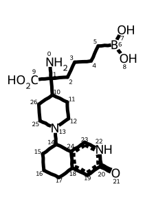 NC(CCCCB(O)O)(C(=O)O)C1CCN(C2CCCc3cc(=O)[nH]cc32)CC1